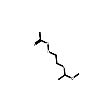 COC(C)OCCOOC(C)=O